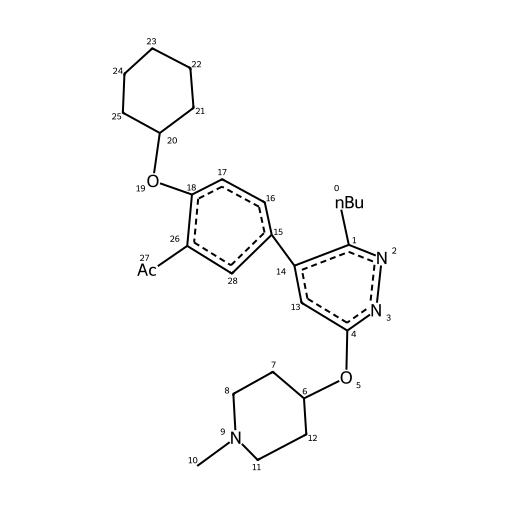 CCCCc1nnc(OC2CCN(C)CC2)cc1-c1ccc(OC2CCCCC2)c(C(C)=O)c1